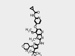 COc1c(Oc2ccnc(NC(=O)C3CC3)c2)cnc2nc(Nc3cc(C(C)(C)C)n(C4CCOCC4)n3)n(C)c12